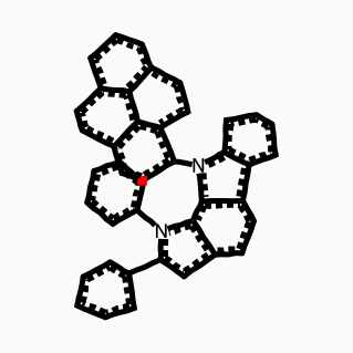 c1ccc(-c2cc3ccc4c5ccccc5n(-c5ccc6ccc7cccc8ccc5c6c78)c4c3n2-c2ccccc2)cc1